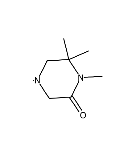 CN1C(=O)C[N]CC1(C)C